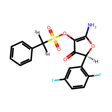 [2H]C([2H])(c1ccccc1)S(=O)(=O)OC1=C(N)O[C@@]([2H])(c2cc(F)ccc2F)C1=O